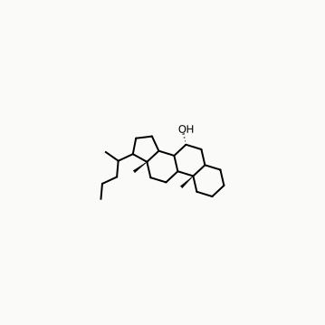 CCCC(C)C1CCC2C3C(CC[C@]12C)[C@@]1(C)CCCCC1C[C@H]3O